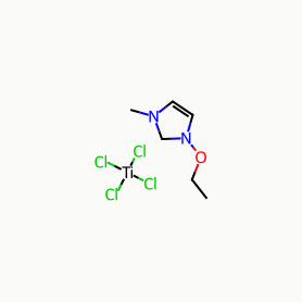 CCON1C=CN(C)C1.[Cl][Ti]([Cl])([Cl])[Cl]